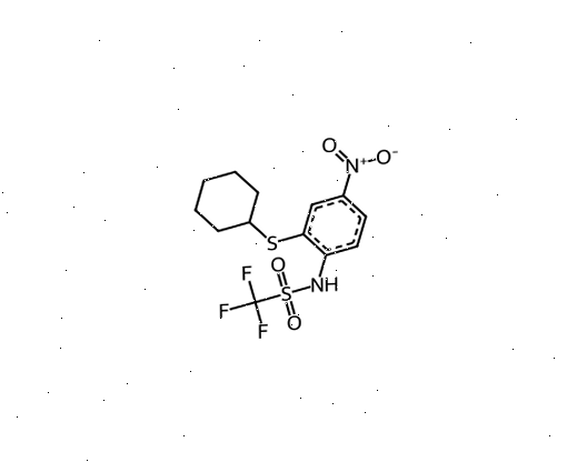 O=[N+]([O-])c1ccc(NS(=O)(=O)C(F)(F)F)c(SC2CCCCC2)c1